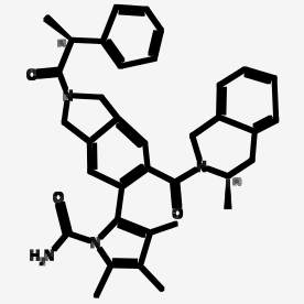 Cc1c(C)c(-c2cc3c(cc2C(=O)N2Cc4ccccc4C[C@H]2C)CN(C(=O)[C@@H](C)c2ccccc2)C3)n(C(N)=O)c1C